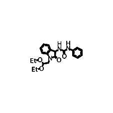 CCOC(CN1C(=O)C(NC(=O)Nc2ccccc2)c2ccccc21)OCC